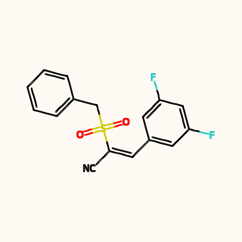 N#CC(=Cc1cc(F)cc(F)c1)S(=O)(=O)Cc1ccccc1